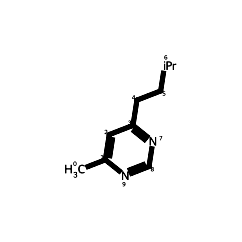 Cc1cc(CCC(C)C)ncn1